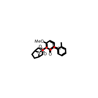 COc1ccc(Cl)cc1S(=O)(=O)N1C2CCC1CN(CC(=O)Nc1ccccc1C)C2